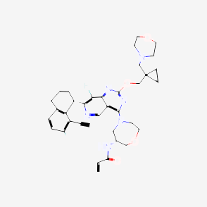 C#Cc1c(F)ccc2c1[C@H](c1ncc3c(N4CCOC[C@@H](NC(=O)C=C)C4)nc(OCC4(CN5CCOCC5)CC4)nc3c1F)CCC2